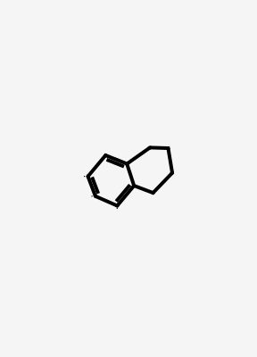 [c]1[c]cc2c([c]1)CCCC2